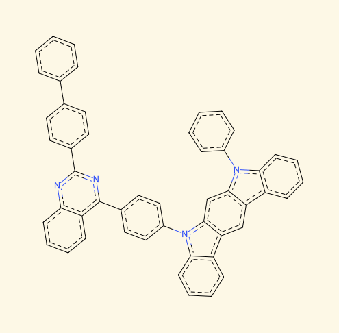 c1ccc(-c2ccc(-c3nc(-c4ccc(-n5c6ccccc6c6cc7c8ccccc8n(-c8ccccc8)c7cc65)cc4)c4ccccc4n3)cc2)cc1